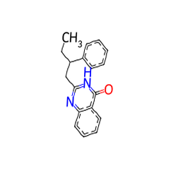 CCC(Cc1nc2ccccc2c(=O)[nH]1)c1ccccc1